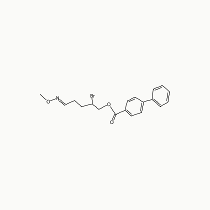 CON=CCCC(Br)COC(=O)c1ccc(-c2ccccc2)cc1